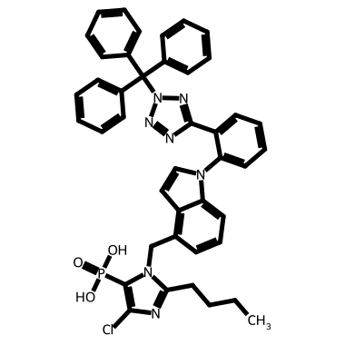 CCCCc1nc(Cl)c(P(=O)(O)O)n1Cc1cccc2c1ccn2-c1ccccc1-c1nnn(C(c2ccccc2)(c2ccccc2)c2ccccc2)n1